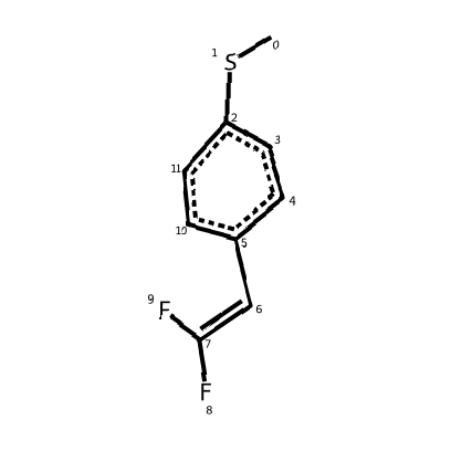 CSc1ccc(C=C(F)F)cc1